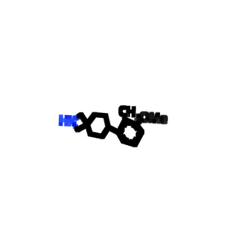 COc1cccc(C2CCC3(CC2)CNC3)c1C